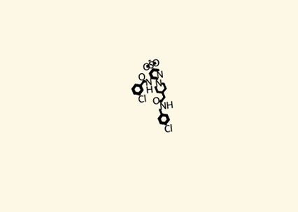 CS(=O)(=O)c1cnc(N2CCC(CC(=O)NCc3ccc(Cl)cc3)CC2)c(NC(=O)c2cccc(Cl)c2)c1